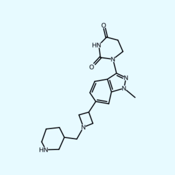 Cn1nc(N2CCC(=O)NC2=O)c2ccc(C3CN(CC4CCCNC4)C3)cc21